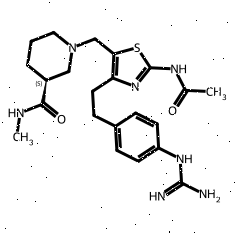 CNC(=O)[C@H]1CCCN(Cc2sc(NC(C)=O)nc2CCc2ccc(NC(=N)N)cc2)C1